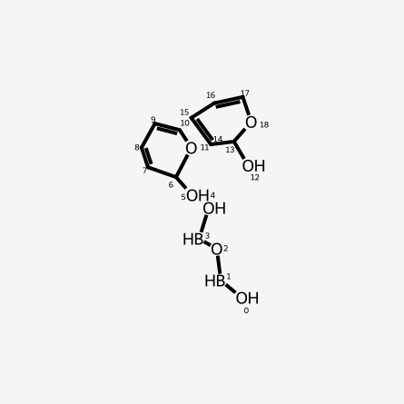 OBOBO.OC1C=CC=CO1.OC1C=CC=CO1